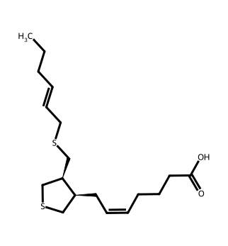 CCCC=CCSC[C@@H]1CSC[C@@H]1C/C=C\CCCC(=O)O